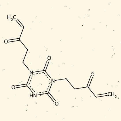 C=CC(=O)CCn1c(=O)[nH]c(=O)n(CCC(=O)C=C)c1=O